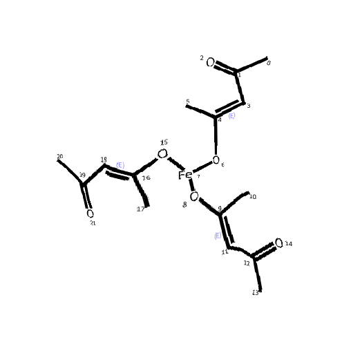 CC(=O)/C=C(\C)[O][Fe]([O]/C(C)=C/C(C)=O)[O]/C(C)=C/C(C)=O